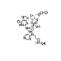 Nc1nc2c(ncn2[C@@H]2O[C@H](COC=O)[C@@H](F)[C@H]2OP(=O)(S)OCc2nc3cncnc3n2CCOPS)c(=O)[nH]1